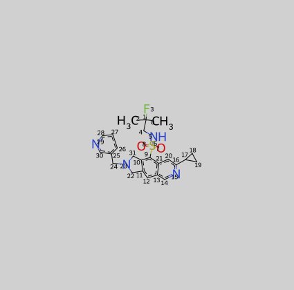 CC(C)(F)CNS(=O)(=O)c1c2c(cc3cnc(C4CC4)cc13)CN(Cc1cccnc1)C2